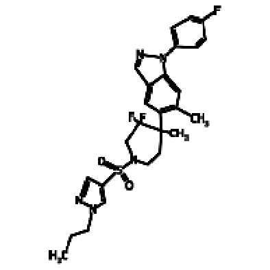 CCCn1cc(S(=O)(=O)N2CCC(C)(c3cc4cnn(-c5ccc(F)cc5)c4cc3C)C(F)(F)C2)cn1